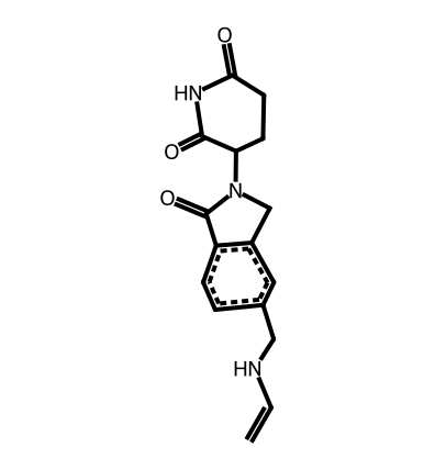 C=CNCc1ccc2c(c1)CN(C1CCC(=O)NC1=O)C2=O